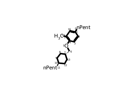 CCCCCc1ccc(OC[C@H]2CC[C@H](CCCCC)CC2)c(C)c1